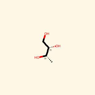 C[C@H](O)[C@@H](O)CO